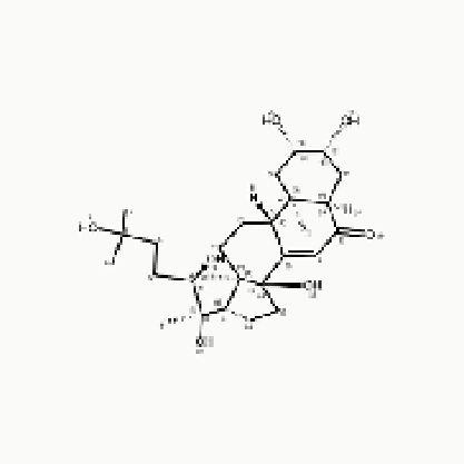 CC(C)(O)CC[C@@H](O)[C@](C)(O)[C@H]1CC[C@@]2(O)C3=CC(=O)[C@@H]4C[C@@H](O)[C@@H](O)C[C@]4(C)[C@H]3CC[C@]12C